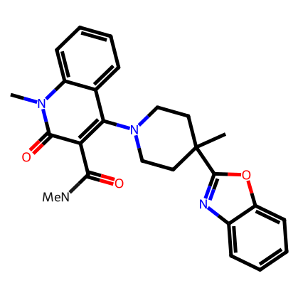 CNC(=O)c1c(N2CCC(C)(c3nc4ccccc4o3)CC2)c2ccccc2n(C)c1=O